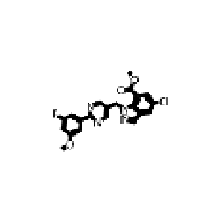 COC(=O)c1cc(Cl)cc2cnn(Cc3cnc(-c4cc(F)cc(OC)c4)nc3)c12